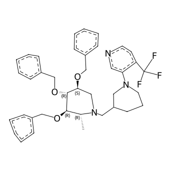 C[C@@H]1[C@@H](OCc2ccccc2)[C@H](OCc2ccccc2)[C@@H](OCc2ccccc2)CN1CC1CCCN(c2cnccc2C(F)(F)F)C1